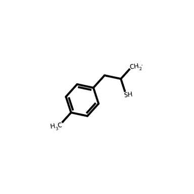 [CH2]C(S)Cc1ccc(C)cc1